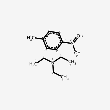 CCN(CC)CC.Cc1ccc(S(=O)O)cc1